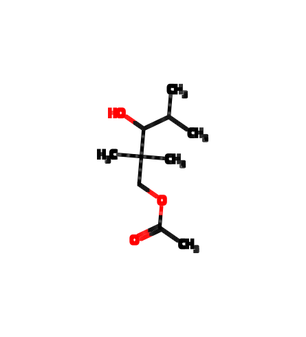 CC(=O)OCC(C)(C)C(O)C(C)C